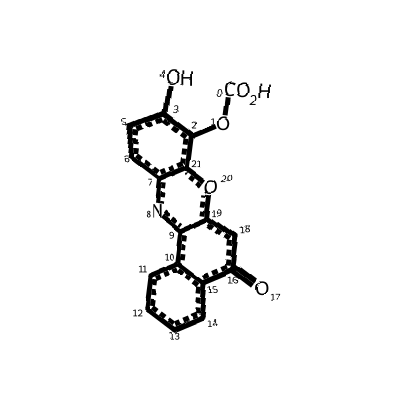 O=C(O)Oc1c(O)ccc2nc3c4ccccc4c(=O)cc-3oc12